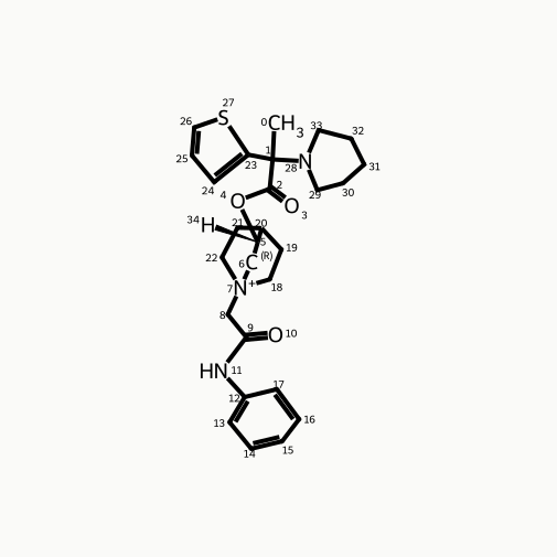 CC(C(=O)O[C@H]1C[N+]2(CC(=O)Nc3ccccc3)CCC1CC2)(c1cccs1)N1CCCCC1